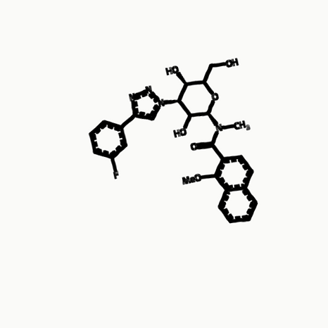 COc1c(C(=O)N(C)[C@@H]2OC(CO)[C@H](O)[C@H](n3cc(-c4cccc(F)c4)nn3)C2O)ccc2ccccc12